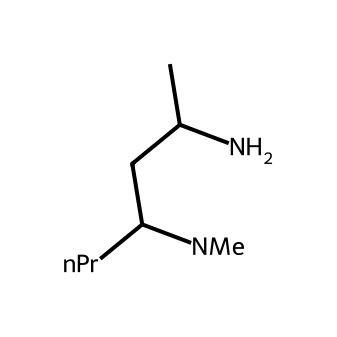 CCCC(CC(C)N)NC